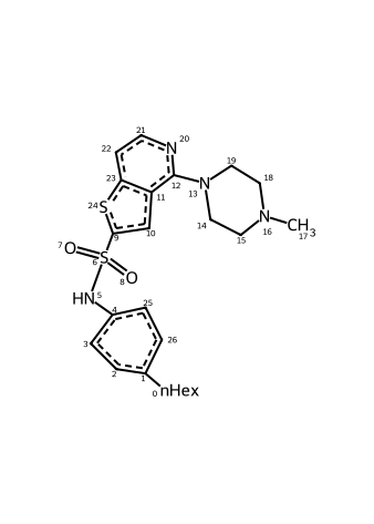 CCCCCCc1ccc(NS(=O)(=O)c2cc3c(N4CCN(C)CC4)nccc3s2)cc1